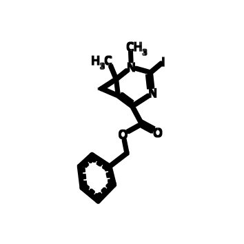 CN1C(I)=NC(C(=O)OCc2ccccc2)=C2CC21C